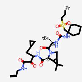 C=CCNC(=O)C(=O)C(CC1CC1)NC(=O)[C@@H]1C2C(CN1C(=O)[C@@H](NC(=O)NC1(CS(=O)(=O)CCC(C)C)CCCCC1)C(C)(C)C)C2(C)C